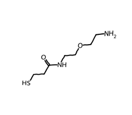 NCCOCCNC(=O)CCS